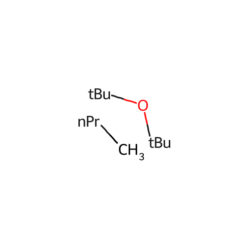 CC(C)(C)OC(C)(C)C.CCCC